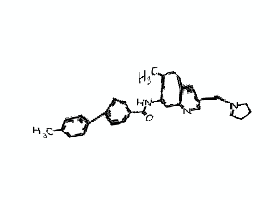 Cc1ccc(-c2ccc(C(=O)Nc3cc4ncc(CN5CCCC5)cc4cc3C)cc2)cc1